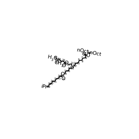 CCCCCCCCC(CCCCCCCC)OC(=O)CCCCCCCN(CCCCCOC(=O)CCCCCCCCC(C)C)CCOC(=O)CCCN(C)C